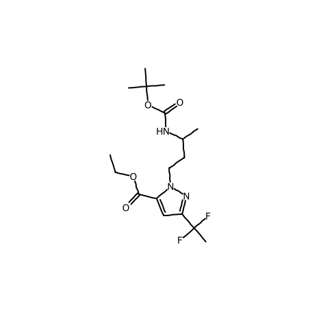 CCOC(=O)c1cc(C(C)(F)F)nn1CCC(C)NC(=O)OC(C)(C)C